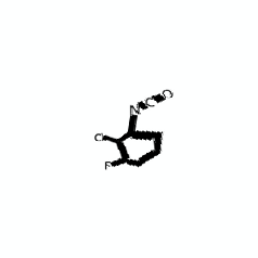 O=C=Nc1cccc(F)c1Cl